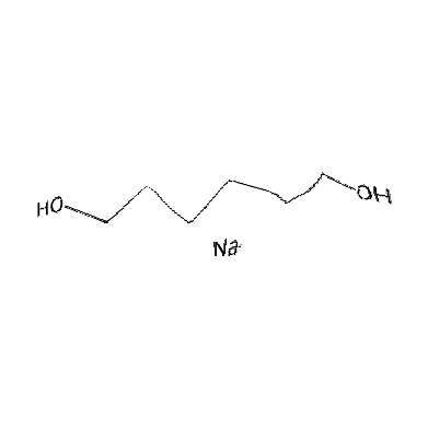 OCCCCCCO.[Na]